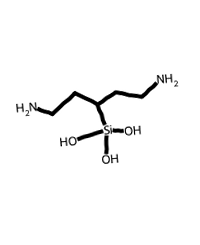 NCCC(CCN)[Si](O)(O)O